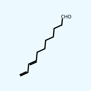 C=C/C=C/CCCCCCC=O